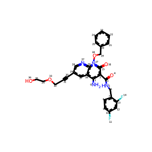 Nc1c(C(=O)NCc2ccc(F)cc2F)c(=O)n(OCc2ccccc2)c2ncc(C#CCOCCO)cc12